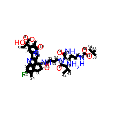 CC[C@@]1(O)C(=O)OCc2c1cc1n(c2=O)Cc2c-1nc1cc(F)c(C)c3c1c2[C@@H](NC(=O)CCCN(C(=O)[C@@H](N)C(C)C)[C@@H](CCCCNC(=O)OC(C)(C)C)C(N)=O)CC3